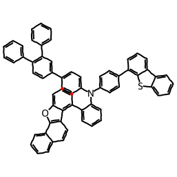 c1ccc(-c2ccc(-c3ccc(N(c4ccc(-c5cccc6c5sc5ccccc56)cc4)c4ccccc4-c4cccc5oc6c7ccccc7ccc6c45)cc3)cc2-c2ccccc2)cc1